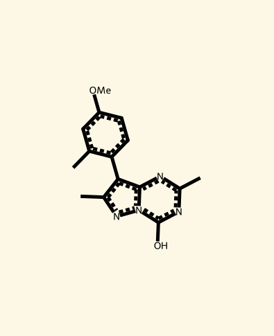 COc1ccc(-c2c(C)nn3c(O)nc(C)nc23)c(C)c1